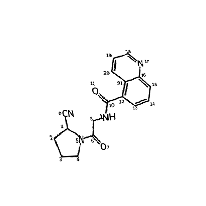 N#CC1CCCN1C(=O)CNC(=O)c1cccc2ncccc12